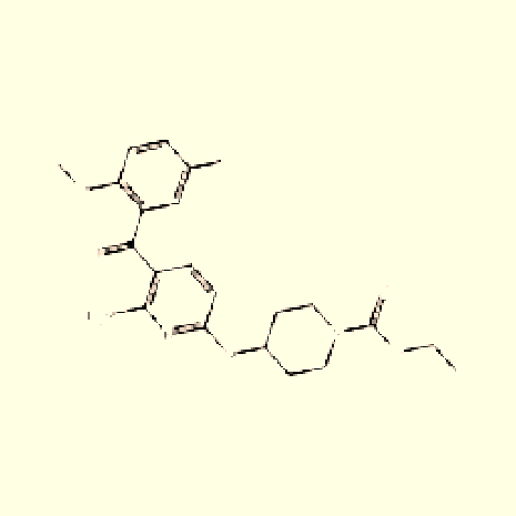 CCOC(=O)N1CCC(Nc2ccc(C(=O)c3cc(F)ccc3OC)c(N)n2)CC1